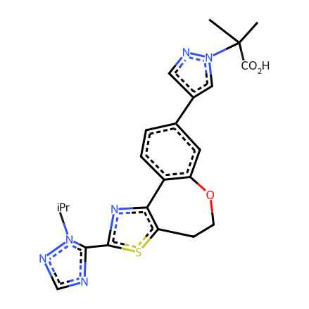 CC(C)n1ncnc1-c1nc2c(s1)CCOc1cc(-c3cnn(C(C)(C)C(=O)O)c3)ccc1-2